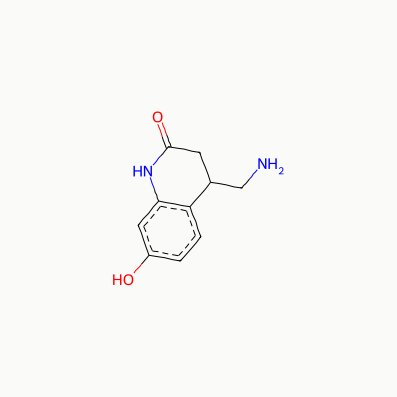 NCC1CC(=O)Nc2cc(O)ccc21